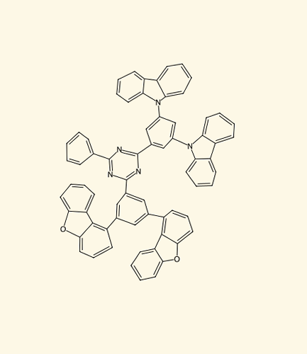 c1ccc(-c2nc(-c3cc(-c4cccc5oc6ccccc6c45)cc(-c4cccc5oc6ccccc6c45)c3)nc(-c3cc(-n4c5ccccc5c5ccccc54)cc(-n4c5ccccc5c5ccccc54)c3)n2)cc1